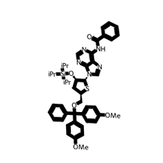 COc1ccc(C(OC[C@H]2[CH][C@@H](O[Si](C(C)C)(C(C)C)C(C)C)[C@H](n3cnc4c(NC(=O)c5ccccc5)ncnc43)S2)(c2ccccc2)c2ccc(OC)cc2)cc1